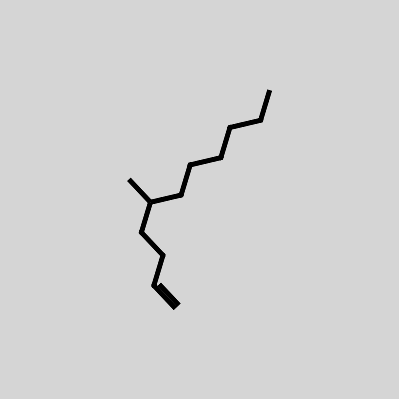 C=CCCC(C)CCCCCC